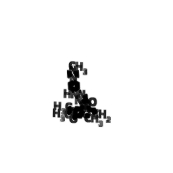 C=CCn1c(=O)c2cnc(Nc3ccc(N4CCN(C)CC4)cc3)nc2n1-c1cn(C(C)C)c(=O)cc1OC